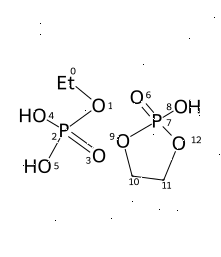 CCOP(=O)(O)O.O=P1(O)OCCO1